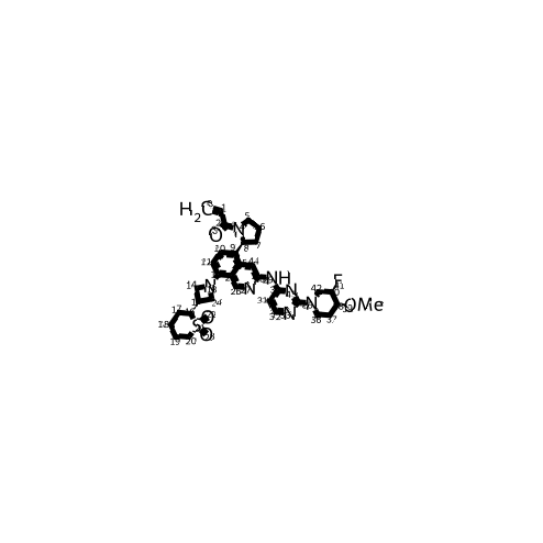 C=CC(=O)N1CCC[C@H]1c1ccc(N2CC([C@H]3CCCCS3(=O)=O)C2)c2cnc(Nc3ccnc(N4CC[C@@H](OC)[C@@H](F)C4)n3)cc12